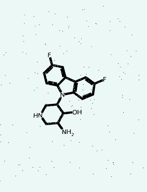 NC1CNCC(n2c3ccc(F)cc3c3cc(F)ccc32)C1O